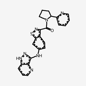 O=C(c1nsc2cc(Nc3n[nH]c4cccnc34)ccc12)N1CCCC1c1ccccn1